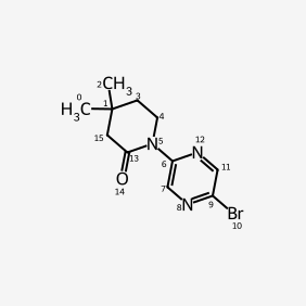 CC1(C)CCN(c2cnc(Br)cn2)C(=O)C1